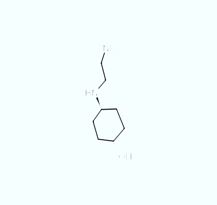 NCCN[C@H]1CC[C@H](O)CC1